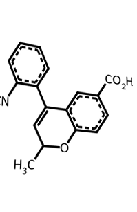 [C-]#[N+]c1ccccc1C1=CC(C)Oc2ccc(C(=O)O)cc21